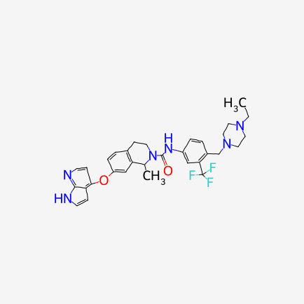 CCN1CCN(Cc2ccc(NC(=O)N3CCc4ccc(Oc5ccnc6[nH]ccc56)cc4C3C)cc2C(F)(F)F)CC1